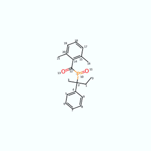 CCC(C)(c1ccccc1)[P](=O)C(=O)c1c(C)cccc1C